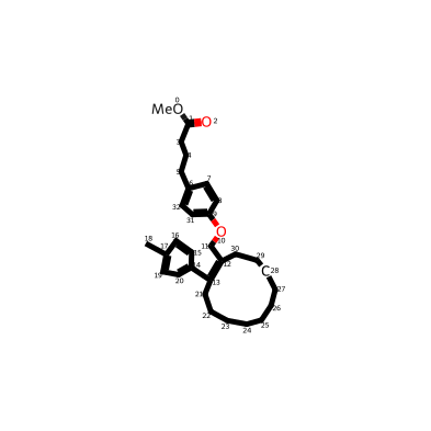 COC(=O)CCCc1ccc(OC/C2=C(\c3ccc(C)cc3)CCCCCCCCCC2)cc1